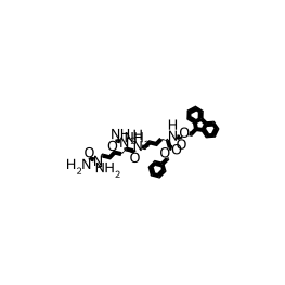 NC(=O)N(N)CCCC[C@@H](C(=O)NCCCC[C@H](NC(=O)OCC1c2ccccc2-c2ccccc21)C(=O)OCc1ccccc1)N(N)C(N)=O